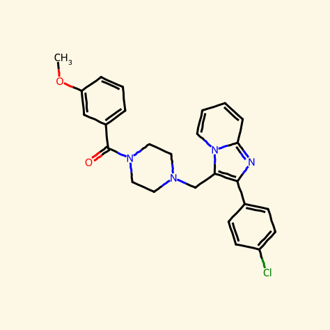 COc1cccc(C(=O)N2CCN(Cc3c(-c4ccc(Cl)cc4)nc4ccccn34)CC2)c1